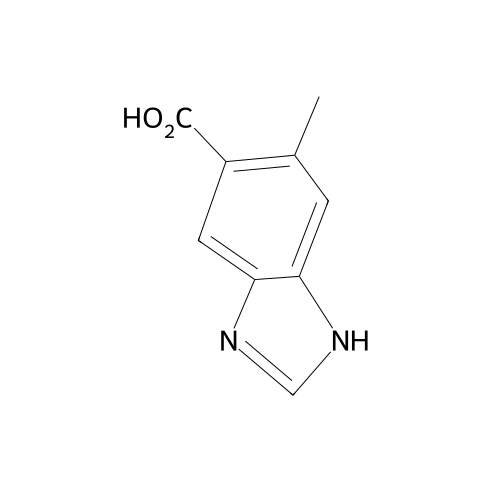 Cc1cc2[nH]cnc2cc1C(=O)O